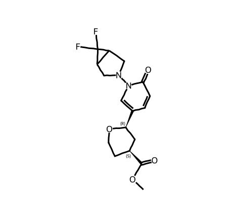 COC(=O)[C@H]1CCO[C@@H](c2ccc(=O)n(N3CC4C(C3)C4(F)F)c2)C1